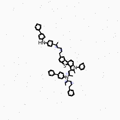 C/C=C(\C=C/Cc1ccccc1)N(/C(C)=C/c1c(C)n(-c2ccccc2)c2ccc3c4cc(C/C=C\C=C(/C)c5ccc(Nc6ccc(-c7ccccc7)cc6)cc5)ccc4sc3c12)c1ccc(-c2ccccc2)cc1